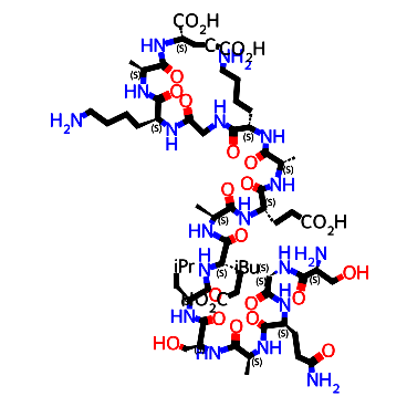 CC[C@H](C)[C@H](NC(=O)[C@@H](N)CO)C(=O)N[C@@H](CCC(N)=O)C(=O)N[C@@H](C)C(=O)N[C@@H](CO)C(=O)N[C@@H](CC(C)C)C(=O)N[C@@H](CCC(=O)O)C(=O)N[C@@H](C)C(=O)N[C@@H](CCC(=O)O)C(=O)N[C@@H](C)C(=O)N[C@@H](CCCCN)C(=O)NCC(=O)N[C@@H](CCCCN)C(=O)N[C@@H](C)C(=O)N[C@@H](CCC(=O)O)C(=O)O